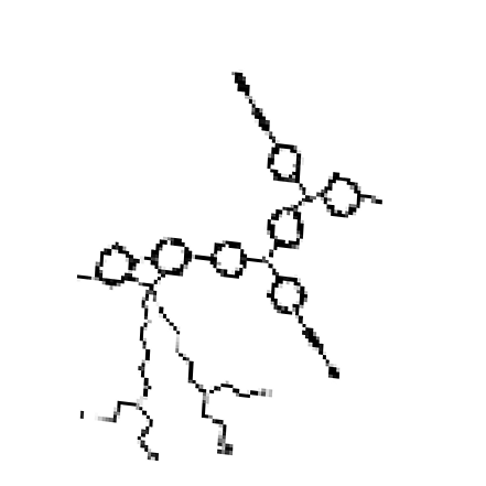 C#CC#Cc1ccc(N(c2ccc(C)cc2)c2ccc(N(c3ccc(C#CC#C)cc3)c3ccc(-c4ccc5c(c4)C(CCCCCCN(CCO)CCO)(CCCCCCN(CCO)CCO)c4cc(C)ccc4-5)cc3)cc2)cc1